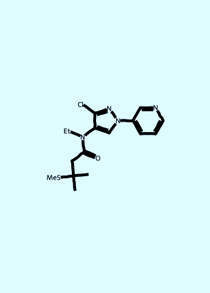 CCN(C(=O)CC(C)(C)SC)c1cn(-c2cccnc2)nc1Cl